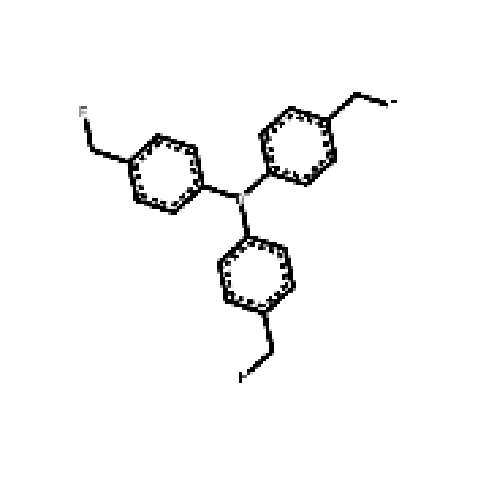 FCc1ccc(B(c2ccc(CF)cc2)c2ccc(CF)cc2)cc1